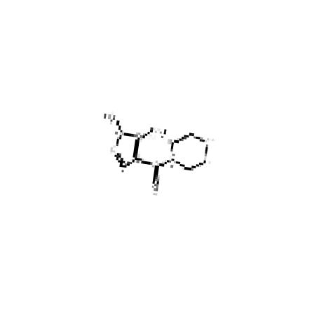 Cn1ncc(C(=O)N2CCSCC2)c1C(=O)O